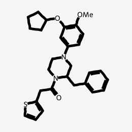 COc1ccc(N2CCN(C(=O)Cc3cccs3)C(Cc3ccccc3)C2)cc1OC1CCCC1